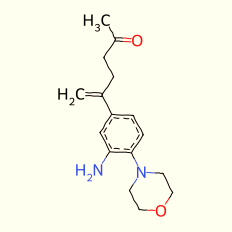 C=C(CCC(C)=O)c1ccc(N2CCOCC2)c(N)c1